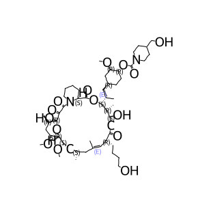 CO[C@H]1C[C@@H](C)C/C(C)=C/[C@@H](CCCCO)C(=O)C[C@H](O)[C@@H](C)[C@@H](/C(C)=C/[C@@H]2CC[C@@H](OC(=O)N3CCC(CO)CC3)[C@H](OC)C2)OC(=O)[C@@H]2CCCCN2C(=O)C(=O)[C@]2(O)O[C@H]1[C@@H](OC)C[C@H]2C